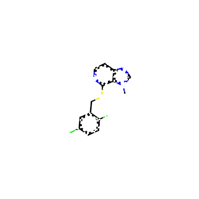 Cn1cnc2ccnc(SCc3cc(Cl)ccc3Cl)c21